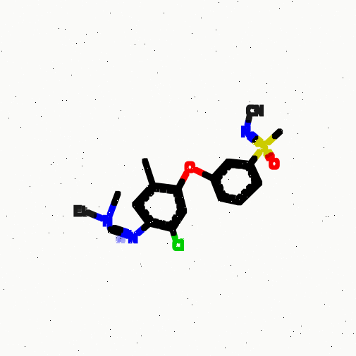 CCN(C)/C=N\c1cc(C)c(Oc2cccc(S(C)(=O)=NC#N)c2)cc1Cl